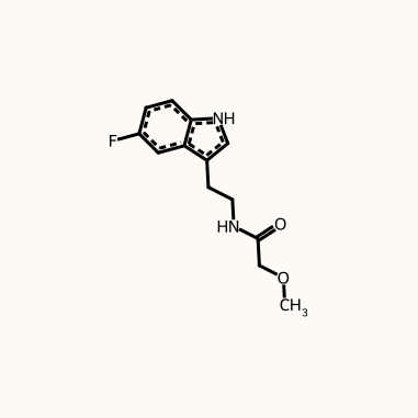 COCC(=O)NCCc1c[nH]c2ccc(F)cc12